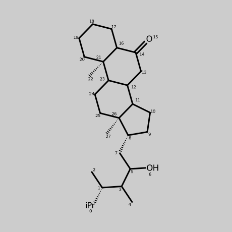 CC(C)[C@H](C)C(C)C(O)C[C@H]1CCC2C3CC(=O)C4CCCC[C@]4(C)C3CC[C@@]21C